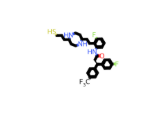 O=C(C[C@@H](c1ccc(F)cc1)c1ccc(C(F)(F)F)cc1)Nc1cccc(F)c1CCC1CCNC(CCCS)CCN1